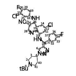 CC(C)(C)N1CCC(n2cc([C@@H](Nc3cc(Cl)cc4c(Nc5ccc(F)c(Cl)c5)c(C#N)cnc34)c3ccc(F)cc3)nn2)CC1